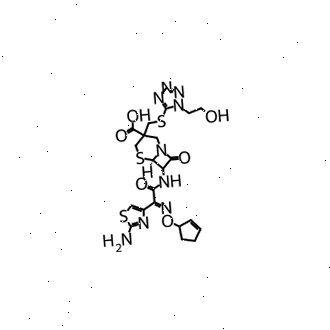 Nc1nc(C(=NOC2C=CCC2)C(=O)NC2C(=O)N3CC(CSc4nnnn4CCO)(C(=O)O)CS[C@H]23)cs1